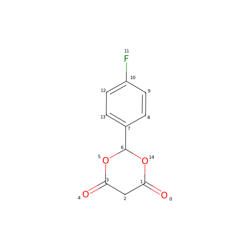 O=C1CC(=O)OC(c2ccc(F)cc2)O1